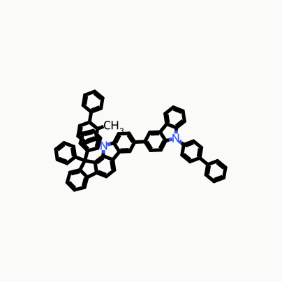 CC1C(n2c3ccc(-c4ccc5c(c4)c4ccccc4n5-c4ccc(-c5ccccc5)cc4)cc3c3ccc4c(c32)C(c2ccccc2)(c2ccccc2)c2ccccc2-4)=CC=CC1c1ccccc1